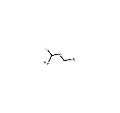 [CH2]CCCNC(C)CC